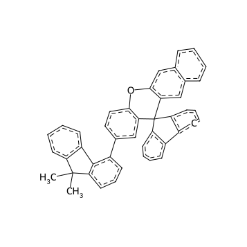 CC1(C)c2ccccc2-c2c(-c3ccc4c(c3)C3(c5cc6ccccc6cc5O4)c4ccccc4-c4ccccc43)cccc21